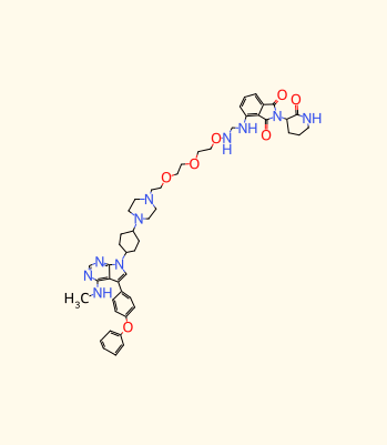 CNc1ncnc2c1c(-c1ccc(Oc3ccccc3)cc1)cn2C1CCC(N2CCN(CCOCCOCCONCNc3cccc4c3C(=O)N(C3CCCNC3=O)C4=O)CC2)CC1